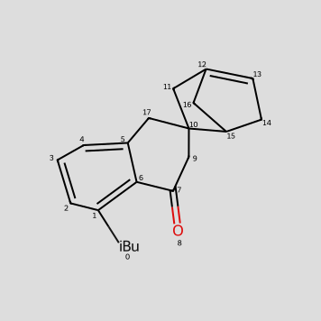 CCC(C)c1cccc2c1C(=O)CC1(CC3=CCC1C3)C2